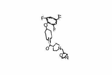 O=C(C1CCN(Cc2cnco2)CC1)N1CCC(Oc2c(F)cc(F)cc2F)CC1